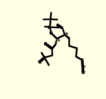 C=C[C@@H](CCCCN=[N+]=[N-])[C@H](CC(=O)CP(C)(C)=O)O[Si](C)(C)C(C)(C)C